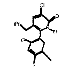 CCn1c(C2=C(Cl)C=C(F)C(C)C2)c(CC(C)C)cc(Cl)c1=O